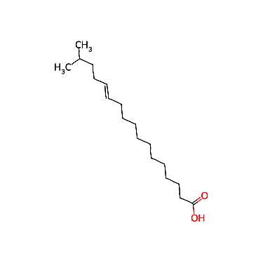 CC(C)CCC=CCCCCCCCCCCC(=O)O